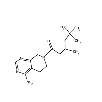 CC(CC(=O)N1CCc2c(N)ncnc2C1)CC(C)(C)C